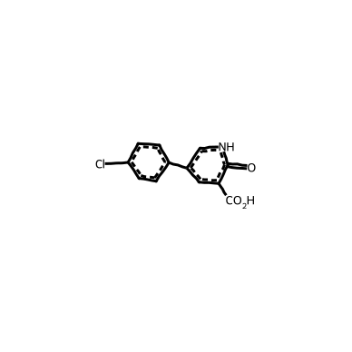 O=C(O)c1cc(-c2ccc(Cl)cc2)c[nH]c1=O